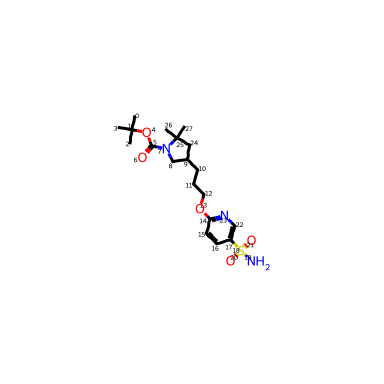 CC(C)(C)OC(=O)N1CC(CCCOc2ccc(S(N)(=O)=O)cn2)CC1(C)C